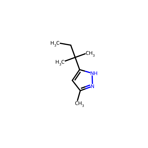 CCC(C)(C)c1cc(C)n[nH]1